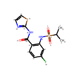 CC(C)S(=O)(=O)Nc1cc(F)ccc1C(=O)Nc1nccs1